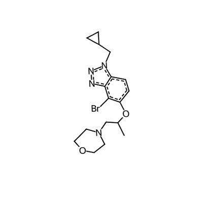 CC(CN1CCOCC1)Oc1ccc2c(nnn2CC2CC2)c1Br